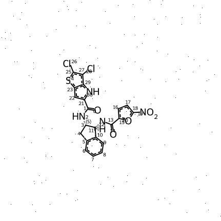 O=C(N[C@H]1Cc2ccccc2[C@H]1NC(=O)c1ccc([N+](=O)[O-])o1)c1cc2sc(Cl)c(Cl)c2[nH]1